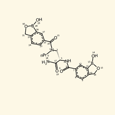 CCCN(C[C@H](NC(=O)c1ccc2c(c1)B(O)OC2)C(N)=O)C(=O)c1ccc2c(c1)B(O)OC2